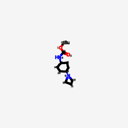 CC(C)(C)OC(=O)N[C@H]1CC[C@H](N2CCC2)CC1